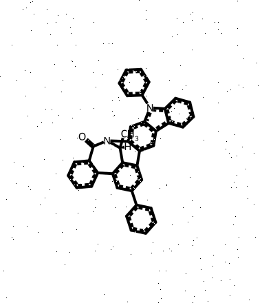 C[C@@H]1c2c3cc(-c4ccccc4)cc2-c2cc4c5ccccc5n(-c5ccccc5)c4cc2N1C(=O)c1ccccc1-3